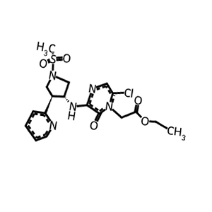 CCOC(=O)Cn1c(Cl)cnc(N[C@H]2CN(S(C)(=O)=O)C[C@@H]2c2ccccn2)c1=O